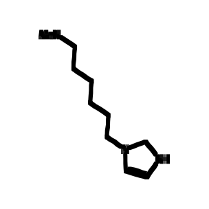 CNCCCCCCN1C=CNC1